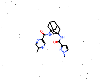 Cc1cnc(C(=O)NC23CC4CC(C2)CC(NC(=O)c2ccn(C)n2)(C4)C3)cn1